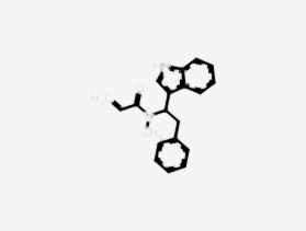 C=CC(=O)N(C)C(Cc1ccccc1)c1c[nH]c2ccccc12